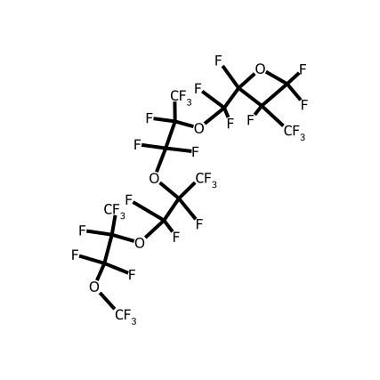 FC(F)(F)OC(F)(F)C(F)(OC(F)(F)C(F)(OC(F)(F)C(F)(OC(F)(F)C1(F)OC(F)(F)C1(F)C(F)(F)F)C(F)(F)F)C(F)(F)F)C(F)(F)F